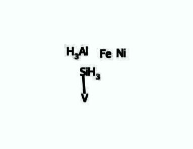 [AlH3].[Fe].[Ni].[SiH3][V]